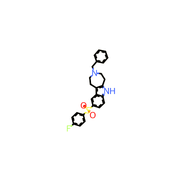 O=S(=O)(c1ccc(F)cc1)c1ccc2[nH]c3c(c2c1)CCN(Cc1ccccc1)CC3